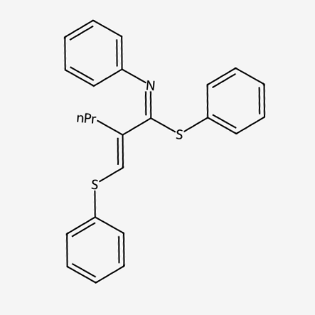 CCCC(=C\Sc1ccccc1)/C(=N\c1ccccc1)Sc1ccccc1